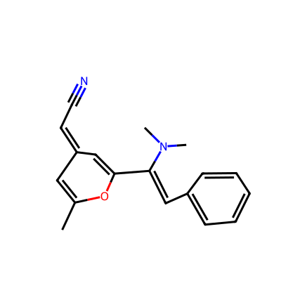 CC1=CC(=CC#N)C=C(C(=Cc2ccccc2)N(C)C)O1